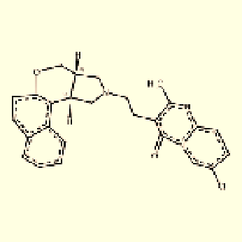 Cc1nc2ccc(Cl)cn2c(=O)c1CCN1C[C@H]2COc3ccc4ccccc4c3[C@H]2C1